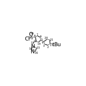 CC(C)(C)c1ccc(-c2ccc(C(=O)Cl)c(Cn3ccnc3)c2)cc1